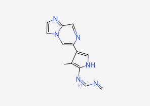 C=N/C=N\c1[nH]cc(-c2cn3ccnc3cn2)c1C